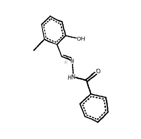 Cc1cccc(O)c1/C=N/NC(=O)c1ccccc1